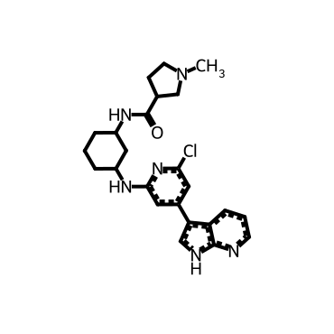 CN1CCC(C(=O)NC2CCCC(Nc3cc(-c4c[nH]c5ncccc45)cc(Cl)n3)C2)C1